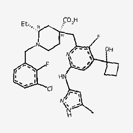 CC[C@@H]1C[C@](Cc2nc(Nc3cc(C)[nH]n3)cc(C3(O)CCC3)c2F)(C(=O)O)CCN1Cc1cccc(Cl)c1F